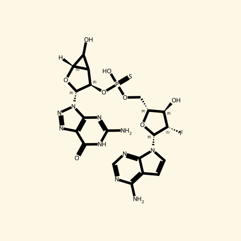 Nc1nc2c(nnn2[C@@H]2O[C@@H]3C(O)C3[C@H]2OP(O)(=S)OC[C@H]2O[C@@H](n3ccc4c(N)ncnc43)[C@@H](F)[C@@H]2O)c(=O)[nH]1